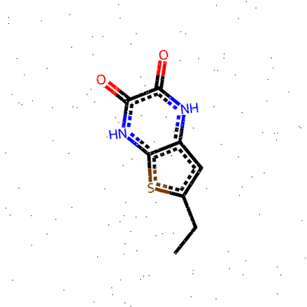 CCc1cc2[nH]c(=O)c(=O)[nH]c2s1